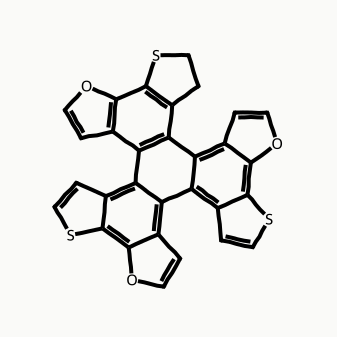 c1cc2c(o1)c1c(c3c2c2c4ccsc4c4occc4c2c2c4ccsc4c4occc4c32)CCS1